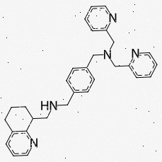 c1ccc(CN(Cc2ccc(CNCC3CCCc4cccnc43)cc2)Cc2ccccn2)nc1